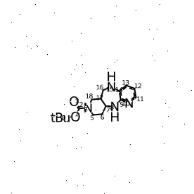 CC(C)(C)OC(=O)N1CCC2Nc3ncccc3NCC2C1